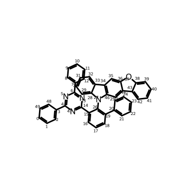 c1ccc(-c2nc(-c3ccccc3)nc(-c3cccc(-c4ccccc4)c3-n3c4ccccc4c4cc5oc6ccccc6c5cc43)n2)cc1